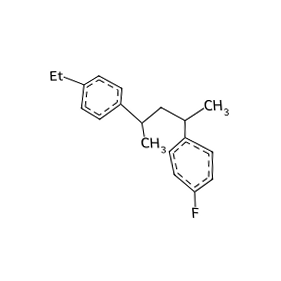 CCc1ccc(C(C)CC(C)c2ccc(F)cc2)cc1